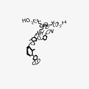 Cc1cc(CNCCP(=O)(OCCC(C)(C)C(=O)O)OCCC(C)(C)C(=O)O)c(OCc2cccc(C#N)c2)cc1OCc1cccc(-c2ccc3c(c2)OCCO3)c1C